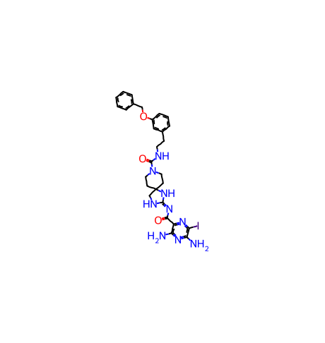 Nc1nc(N)c(C(=O)/N=C2\NCC3(CCN(C(=O)NCCc4cccc(OCc5ccccc5)c4)CC3)N2)nc1I